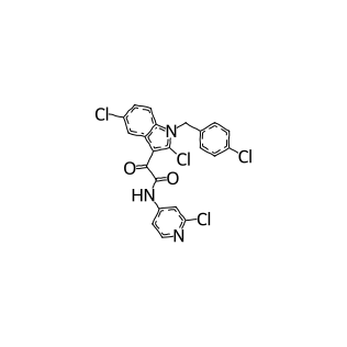 O=C(Nc1ccnc(Cl)c1)C(=O)c1c(Cl)n(Cc2ccc(Cl)cc2)c2ccc(Cl)cc12